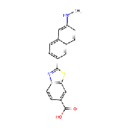 CNc1ccc2cc(-c3nc4ccc(C(=O)O)cc4s3)ccc2c1